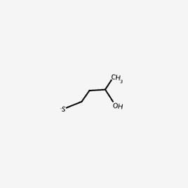 CC(O)CC[S]